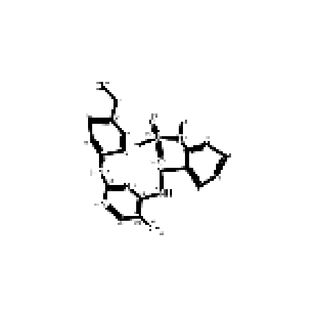 CN(c1ncccc1CNc1nc(Nc2ccc(CCl)cc2)ncc1C(F)(F)F)S(C)(=O)=O